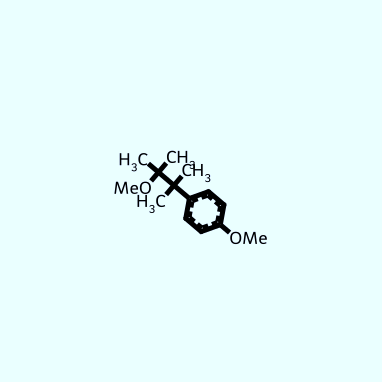 COc1ccc(C(C)(C)C(C)(C)OC)cc1